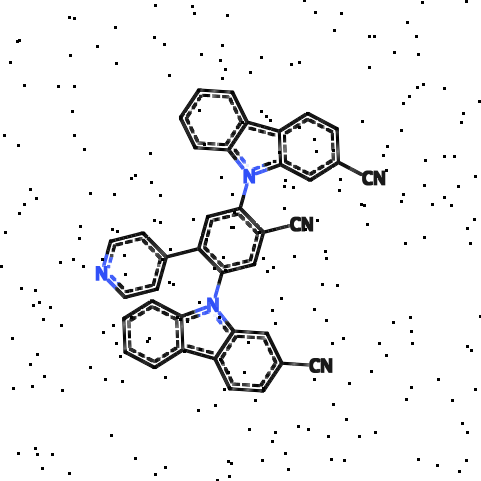 N#Cc1ccc2c3ccccc3n(-c3cc(-c4ccncc4)c(-n4c5ccccc5c5ccc(C#N)cc54)cc3C#N)c2c1